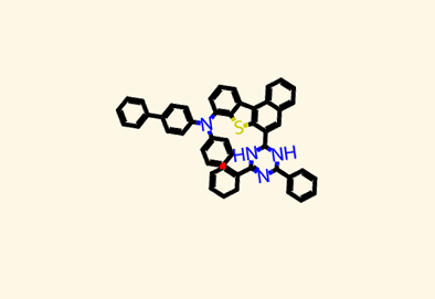 C1=CCCC(C2=NC(c3ccccc3)NC(c3cc4ccccc4c4c3sc3c(N(c5ccccc5)c5ccc(-c6ccccc6)cc5)cccc34)N2)=C1